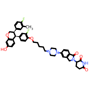 Cc1cc([C@@H]2COc3cc(O)ccc3[C@@H]2c2ccc(OCCCCCN3CCN(c4ccc5c(c4)CN(C4CCC(=O)NC4=O)C5=O)CC3)c(F)c2)ccc1F